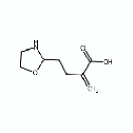 C=C(CCC1NCCO1)C(=O)O